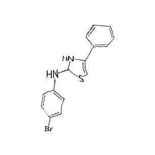 Brc1ccc(NC2NC(c3ccccc3)=CS2)cc1